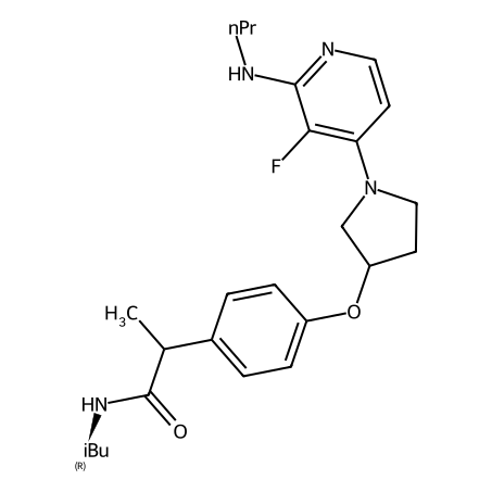 CCCNc1nccc(N2CCC(Oc3ccc(C(C)C(=O)N[C@H](C)CC)cc3)C2)c1F